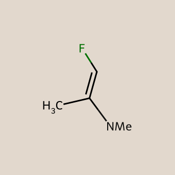 CN/C(C)=C/F